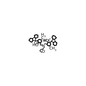 Cc1cc(CN(Cc2cc(C)cc(C3(C)c4ccccc4-c4ccccc43)c2O)CC2CCCO2)c(O)c(C2(C)c3ccccc3-c3ccccc32)c1